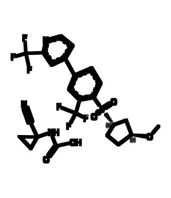 CO[C@H]1CC[C@H](S(=O)(=O)c2ccc(-c3ccnc(C(F)(F)F)c3)cc2C(F)(F)F)C1.N#CC1(NC(=O)O)CC1